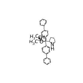 C[Si](C)(C)OC(c1ccc(-c2ccccc2)cc1)(c1ccc(-c2ccccc2)cc1)C1CCCN1